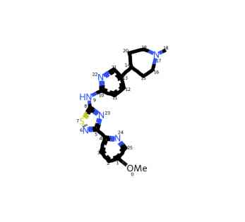 COc1ccc(-c2nsc(Nc3ccc(C4CCN(C)CC4)cn3)n2)nc1